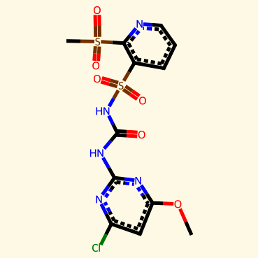 COc1cc(Cl)nc(NC(=O)NS(=O)(=O)c2cccnc2S(C)(=O)=O)n1